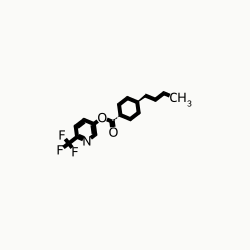 CCCC[C@H]1CC[C@H](C(=O)Oc2ccc(C(F)(F)F)nc2)CC1